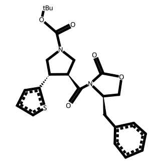 CC(C)(C)OC(=O)N1C[C@@H](C(=O)N2C(=O)OC[C@H]2Cc2ccccc2)[C@H](c2cccs2)C1